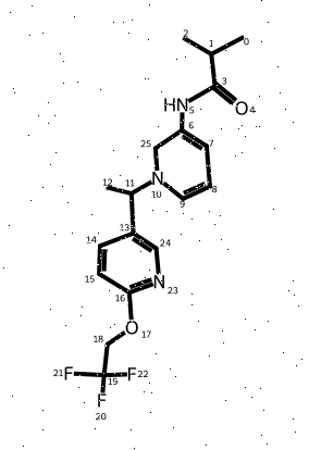 CC(C)C(=O)NC1=CC=CN(C(C)c2ccc(OCC(F)(F)F)nc2)C1